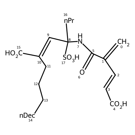 C=C(C=CC(=O)O)C(=O)NC(C=C(CCCCCCCCCCCCC)C(=O)O)(CCC)S(=O)(=O)O